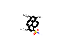 CC(=O)Oc1cc(S(=O)(=O)O)c2ccc3c(S(=O)(=O)O)cc(S(N)(=O)=O)c4ccc1c2c43